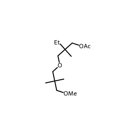 CCC(C)(COCC(C)(C)COC)COC(C)=O